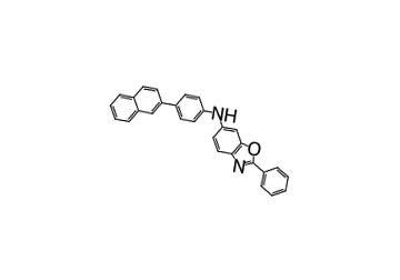 c1ccc(-c2nc3ccc(Nc4ccc(-c5ccc6ccccc6c5)cc4)cc3o2)cc1